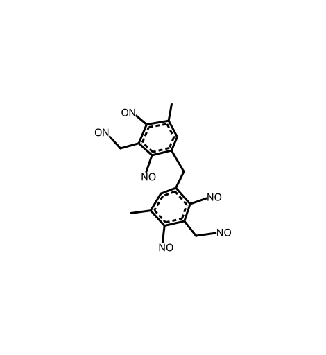 Cc1cc(Cc2cc(C)c(N=O)c(CN=O)c2N=O)c(N=O)c(CN=O)c1N=O